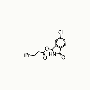 CC(C)CCC(=O)OC1NC(=O)c2ccc(Cl)cc21